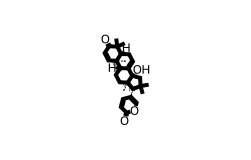 CC1(C)C[C@]2(O)C3=CC[C@H]4C(C)(C)C(=O)C=C[C@]4(C)[C@H]3CC[C@]2(C)[C@H]1c1ccc(=O)oc1